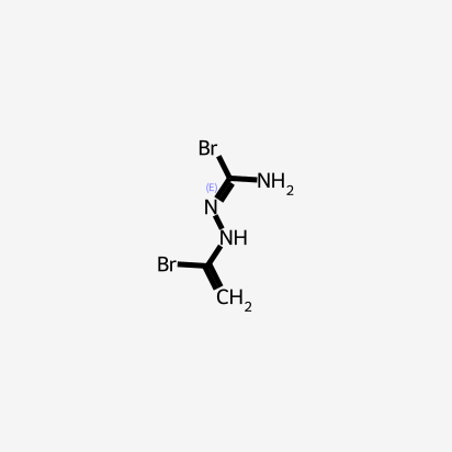 C=C(Br)N/N=C(\N)Br